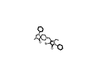 CCn1c(CN2CCC3(CC2)C(=O)N(C)CN3c2ccccc2)c(Br)c(=O)n1-c1ccccc1